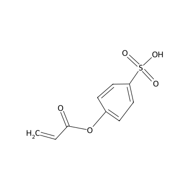 C=CC(=O)Oc1ccc(S(=O)(=O)O)cc1